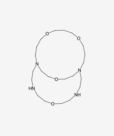 C1COCCCN2CCNCCOCCNCCN(CCCOC1)CCOCC2